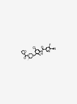 Cc1c(CN2CCN(C(=O)[C@@H]3CCCO3)[C@@H](C)C2)cc(Cl)cc1NC(=O)c1cnc(C#N)c(F)c1